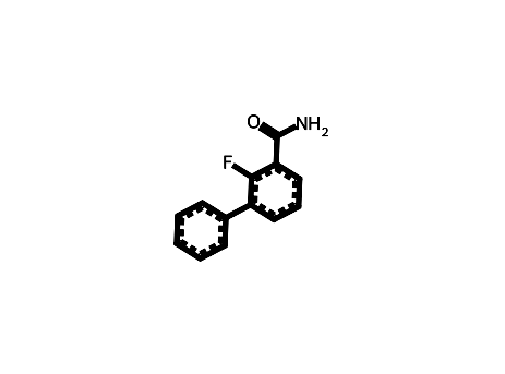 NC(=O)c1cccc(-c2ccccc2)c1F